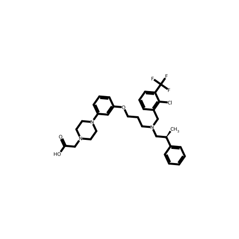 C[C@H](CN(CCCOc1cccc(N2CCN(CC(=O)O)CC2)c1)Cc1cccc(C(F)(F)F)c1Cl)c1ccccc1